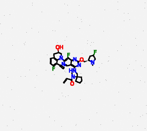 C#Cc1c(F)ccc2c1N(c1ncc3c(NCC4(N(C)C(=O)C=C)CCCC4)nc(OC[C@@H]4C[C@@H](F)CN4C)nc3c1F)C[C@H](O)C2